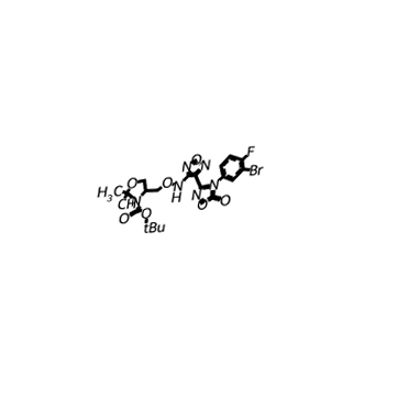 CC(C)(C)OC(=O)N1C(CONc2nonc2-c2noc(=O)n2-c2ccc(F)c(Br)c2)COC1(C)C